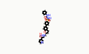 O=C(Nc1ccccc1)NS(=O)(=O)c1ccc(-c2ccc3c(c2)CC[C@H](CNC[C@H](O)c2cccnc2)O3)cc1